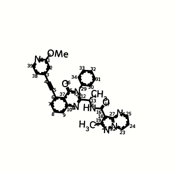 COc1cc(C#Cc2cccc3nc([C@@H](C)NC(=O)c4c(C)nn5cccnc45)n(-c4ccccc4)c(=O)c23)ccn1